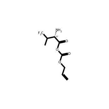 C=CCOC(=O)OC(=O)[C@@H](N)C(C)C(F)(F)F